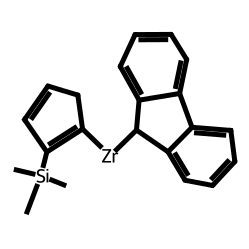 C[Si](C)(C)C1=[C]([Zr][CH]2c3ccccc3-c3ccccc32)CC=C1